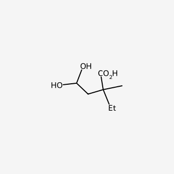 CCC(C)(CC(O)O)C(=O)O